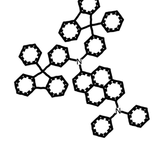 c1ccc(N(c2ccccc2)c2ccc3ccc4c(N(c5cccc(C6(c7ccccc7)c7ccccc7-c7ccccc76)c5)c5cccc(C6(c7ccccc7)c7ccccc7-c7ccccc76)c5)ccc5ccc2c3c54)cc1